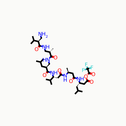 CC(C)C[C@@H](CC(=O)OC(=O)C(F)(F)F)NC(=O)C[C@H](C)NC(=O)C[C@@H](NC(=O)[C@H](CNC(=O)[C@@H](C)CNC(=O)[C@H](CN)C(C)C)CC(C)C)C(C)C